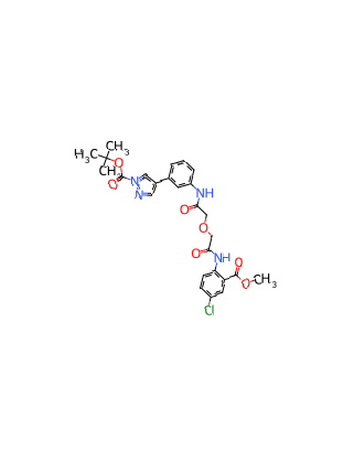 COC(=O)c1cc(Cl)ccc1NC(=O)COCC(=O)Nc1cccc(-c2cnn(C(=O)OC(C)(C)C)c2)c1